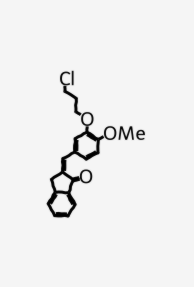 COc1ccc(C=C2Cc3ccccc3C2=O)cc1OCCCCl